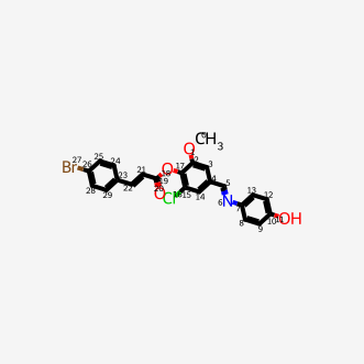 COc1cc(/C=N/c2ccc(O)cc2)cc(Cl)c1OC(=O)/C=C/c1ccc(Br)cc1